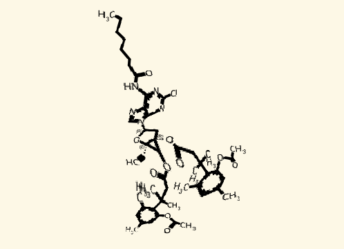 C#C[C@]12O[C@@H](n3cnc4c(NC(=O)CCCCCCC)nc(Cl)nc43)C[C@@]1(OC(=O)CC(C)(C)c1c(C)cc(C)cc1OC(C)=O)C2OC(=O)CC(C)(C)c1c(C)cc(C)cc1OC(C)=O